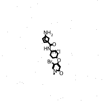 Cl.Cn1cc(Br)c(OC2CCC(NC(=O)C34CCC(N)(C3)C4)CC2)cc1=O